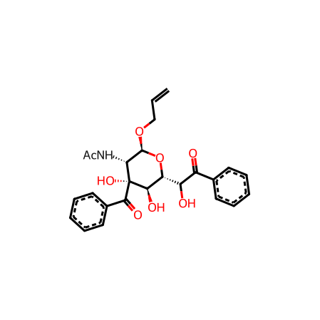 C=CCO[C@H]1O[C@H](C(O)C(=O)c2ccccc2)[C@@H](O)[C@@](O)(C(=O)c2ccccc2)[C@@H]1NC(C)=O